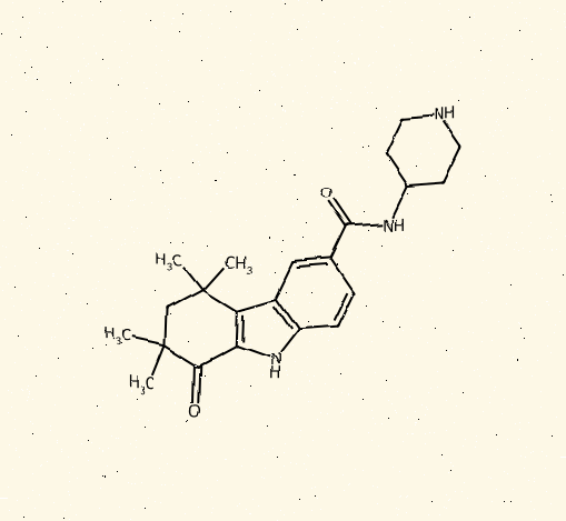 CC1(C)CC(C)(C)c2c([nH]c3ccc(C(=O)NC4CCNCC4)cc23)C1=O